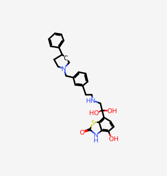 O=c1[nH]c2c(O)ccc(C(O)(O)CNCCc3cccc(CN4CCC(c5ccccc5)CC4)c3)c2s1